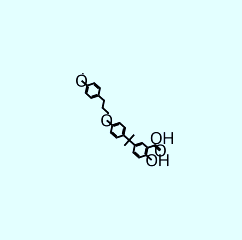 COc1ccc(CCCOc2ccc(C(C)(C)c3ccc(O)c(C(=O)O)c3)cc2)cc1